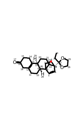 CCC1([C@@]23C=CC4(CC2)[C@@H]2CCC5=C(CCC(=O)C5)[C@H]2CC[C@@]43C)OCCO1